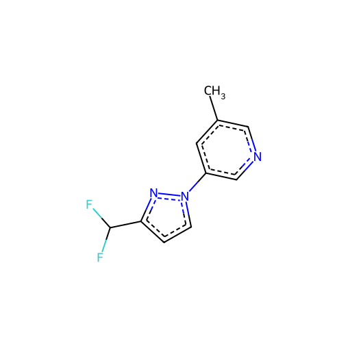 Cc1cncc(-n2ccc(C(F)F)n2)c1